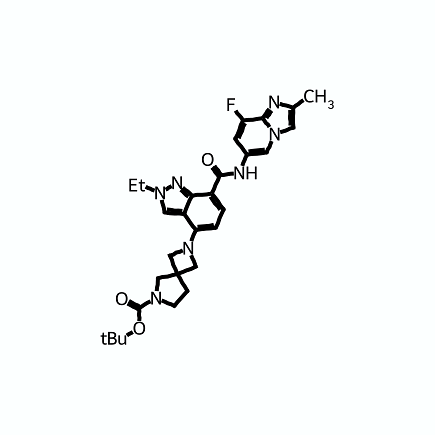 CCn1cc2c(N3CC4(CCN(C(=O)OC(C)(C)C)C4)C3)ccc(C(=O)Nc3cc(F)c4nc(C)cn4c3)c2n1